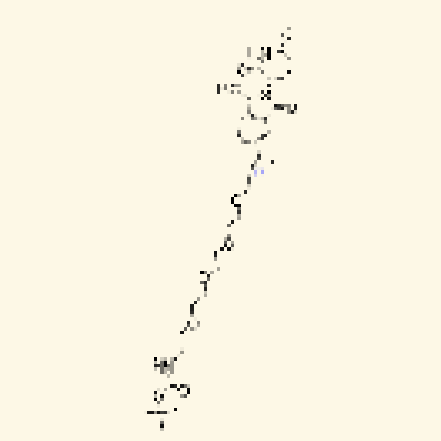 C/C(=C\COCCOCCOCCOCCNC(=O)OC(C)(C)C)c1ccc2c(c1)C(=O)N(C1CCC(=O)NC1=O)C2O